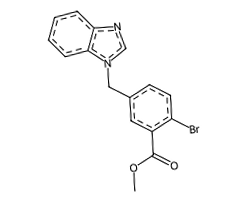 COC(=O)c1cc(Cn2cnc3ccccc32)ccc1Br